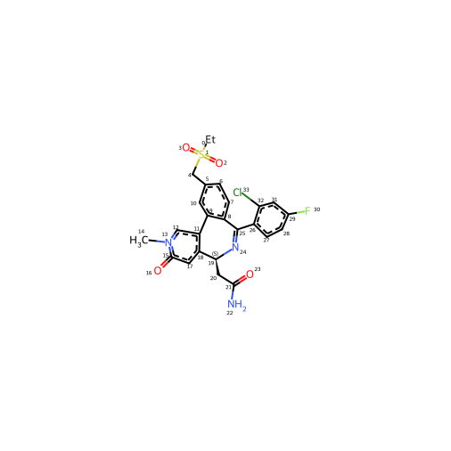 CCS(=O)(=O)Cc1ccc2c(c1)-c1cn(C)c(=O)cc1[C@H](CC(N)=O)N=C2c1ccc(F)cc1Cl